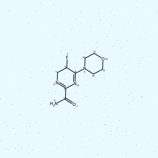 NC(=O)C1=NCC(F)C(N2CCOCC2)=N1